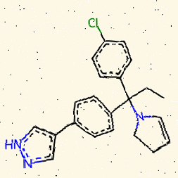 CCC(c1ccc(Cl)cc1)(c1ccc(-c2cn[nH]c2)cc1)N1C=CCC1